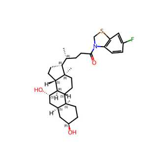 C[C@H](CCC(=O)N1CSc2cc(F)ccc21)[C@H]1CC[C@H]2[C@@H]3[C@@H](O)C[C@@H]4C[C@H](O)CC[C@]4(C)[C@H]3CC[C@]12C